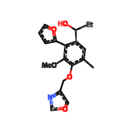 CCC(O)c1cc(C)c(OCc2cocn2)c(OC)c1-c1ccco1